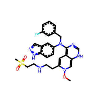 CON1C=C2NC=NC(N(Cc3cccc(F)c3)c3ccc4[nH]ncc4c3)=C2C=C1CCNCCS(C)(=O)=O